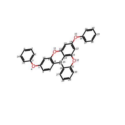 c1ccc(Oc2ccc3c(c2)Oc2cc(Oc4ccccc4)cc4c2B3c2ccccc2O4)cc1